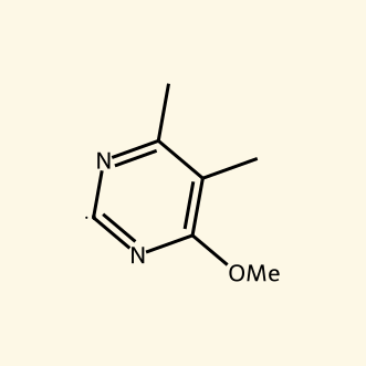 COc1n[c]nc(C)c1C